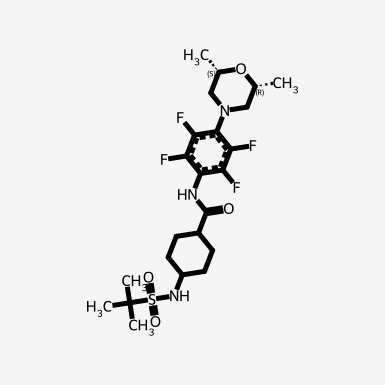 C[C@@H]1CN(c2c(F)c(F)c(NC(=O)C3CCC(NS(=O)(=O)C(C)(C)C)CC3)c(F)c2F)C[C@H](C)O1